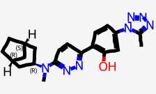 Cc1nnnn1-c1ccc(-c2ccc(N(C)[C@H]3C[C@@H]4CC[C@@H](C4)C3)nn2)c(O)c1